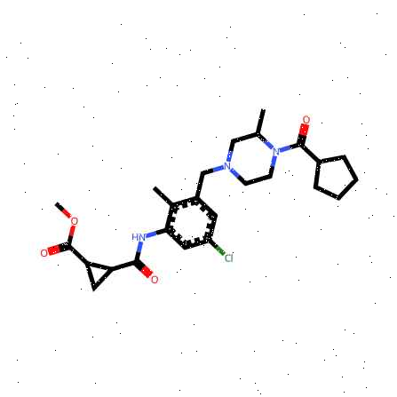 COC(=O)C1CC1C(=O)Nc1cc(Cl)cc(CN2CCN(C(=O)C3CCCC3)C(C)C2)c1C